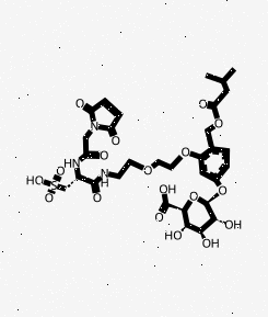 CC(C)CC(=O)OCc1ccc(O[C@@H]2O[C@H](C(=O)O)[C@@H](O)[C@H](O)[C@H]2O)cc1OCCOCCNC(=O)[C@H](CS(=O)(=O)O)NC(=O)CN1C(=O)C=CC1=O